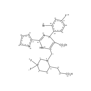 CCOC(=O)C1=C(CN2CC(F)(F)CCC2CCC(=O)O)NC(c2nccs2)=NC1c1ccc(F)cc1Br